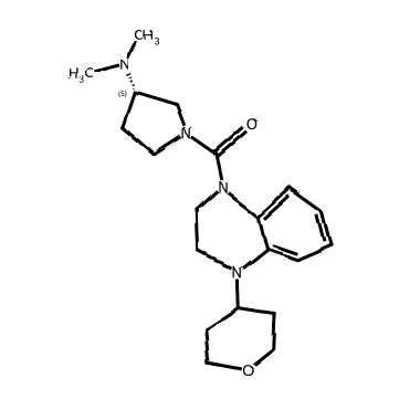 CN(C)[C@H]1CCN(C(=O)N2CCN(C3CCOCC3)c3ccccc32)C1